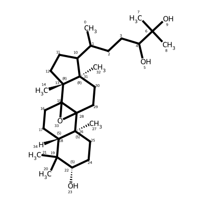 CC(CCC(O)C(C)(C)O)C1CC[C@@]2(C)C34CC[C@H]5C(C)(C)[C@@H](O)CC[C@]5(C)C3(CC[C@]12C)O4